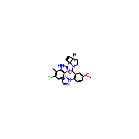 COc1ccc(-n2nccn2)c(C(=O)N2CC[C@@H]3C#C[C@@]32c2nc3ccc(Cl)c(C)c3[nH]2)c1